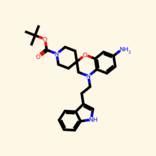 CC(C)(C)OC(=O)N1CCC2(CC1)CN(CCc1c[nH]c3ccccc13)c1ccc(N)cc1O2